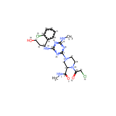 CNC(=O)C1CN(c2nc(NC)nc(NC(CCO)c3ccccc3Cl)n2)CCN1C(=O)CCl